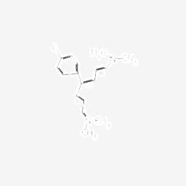 CN(C)/C=C/C=C(/C=C/C=[N+](C)C)c1ccc(F)cc1